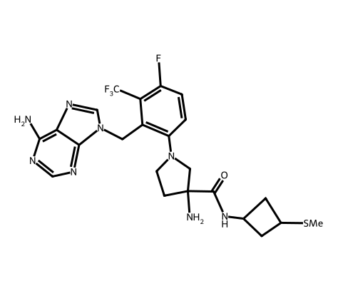 CSC1CC(NC(=O)C2(N)CCN(c3ccc(F)c(C(F)(F)F)c3Cn3cnc4c(N)ncnc43)C2)C1